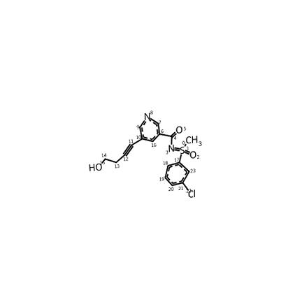 CS(=O)(=NC(=O)c1cncc(C#CCCO)c1)c1cccc(Cl)c1